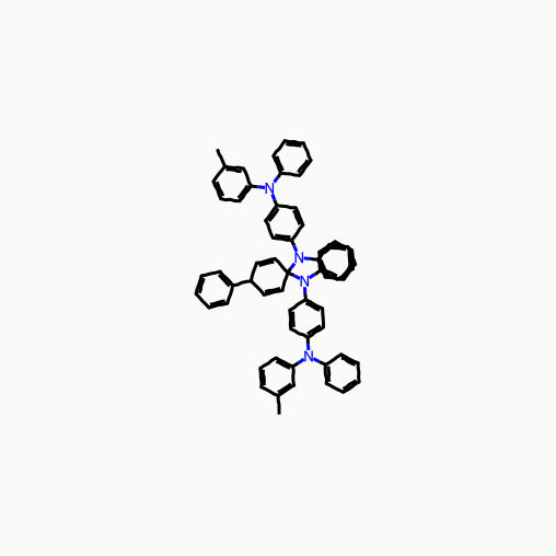 Cc1cccc(N(c2ccccc2)c2ccc(N(c3ccccc3)C3(N(c4ccccc4)c4ccc(N(c5ccccc5)c5cccc(C)c5)cc4)C=CC(c4ccccc4)C=C3)cc2)c1